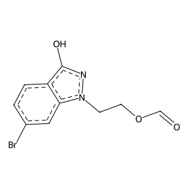 O=COCCn1nc(O)c2ccc(Br)cc21